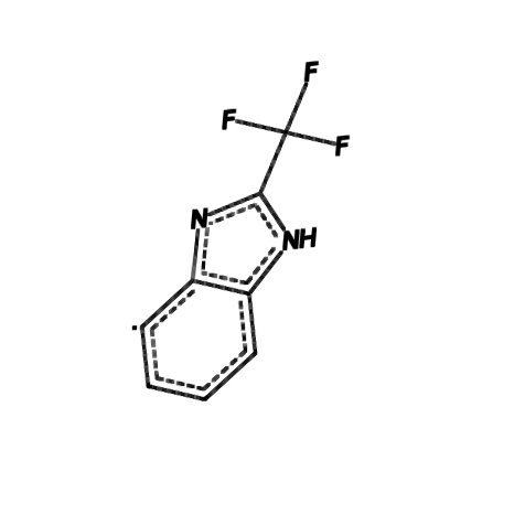 FC(F)(F)c1nc2[c]cccc2[nH]1